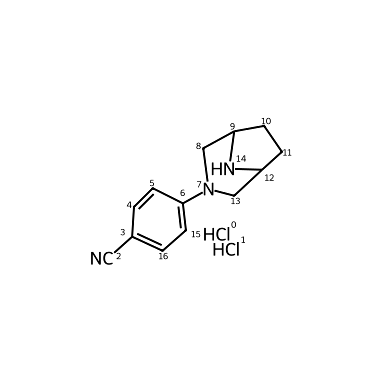 Cl.Cl.N#Cc1ccc(N2CC3CCC(C2)N3)cc1